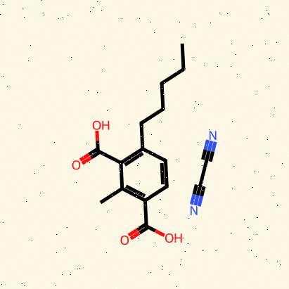 CCCCCc1ccc(C(=O)O)c(C)c1C(=O)O.N#CC#N